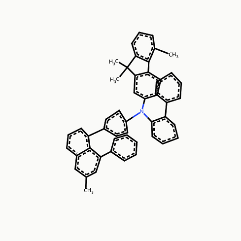 Cc1cc(-c2ccccc2)c2c(-c3ccc(N(c4ccc5c(c4)C(C)(C)c4cccc(C)c4-5)c4ccccc4-c4ccccc4)cc3)cccc2c1